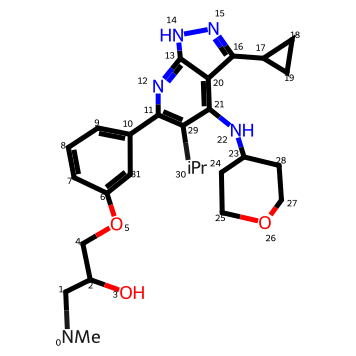 CNCC(O)COc1cccc(-c2nc3[nH]nc(C4CC4)c3c(NC3CCOCC3)c2C(C)C)c1